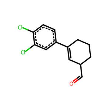 O=CC1C=C(c2ccc(Cl)c(Cl)c2)CCC1